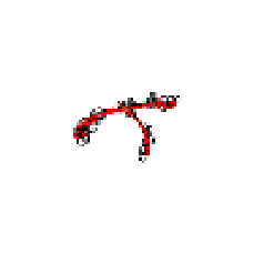 O=C(CCCCCCCCCOc1ccc(C(=O)Oc2ccc3ccc(=O)oc3c2)cc1F)OCC(COC(=O)CCCCCCCCCOc1ccc(C(=O)Oc2ccc3ccc(=O)oc3c2)cc1F)OC(=O)CCCCCCCCCOc1ccc(C(=O)Oc2ccc3ccc(=O)oc3c2)cc1F